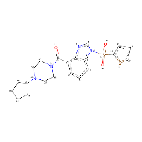 O=C(c1cccc2c1ncn2S(=O)(=O)c1cccs1)N1CCN(C2CCCC2)CC1